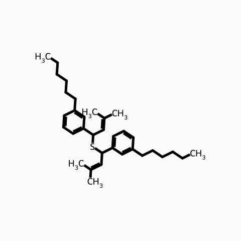 CCCCCCc1cccc(C(C=C(C)C)SC(C=C(C)C)c2cccc(CCCCCC)c2)c1